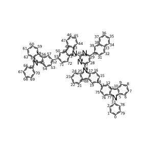 c1ccc(-n2c3ccccc3c3cc(-c4ccc5c(c4)c4ccccc4n5-c4cc(-c5ccc6ccccc6c5)nc(-n5c6ccccc6c6cc(-c7ccc8c(c7)c7ccccc7n8-c7ccccc7)ccc65)n4)ccc32)cc1